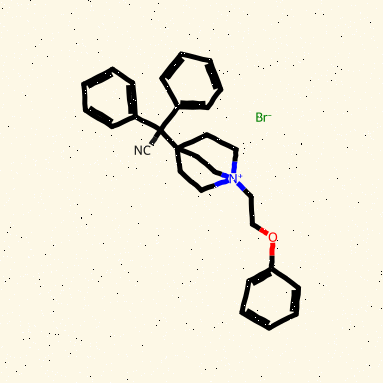 N#CC(c1ccccc1)(c1ccccc1)C12CC[N+](CCOc3ccccc3)(CC1)CC2.[Br-]